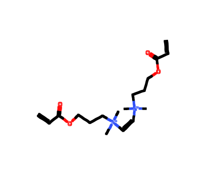 C=CC(=O)OCCC[N+](C)(C)/C=C\[N+](C)(C)CCCOC(=O)C=C